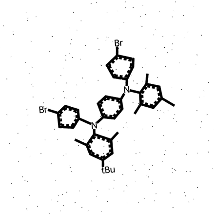 Cc1cc(C)c(N(c2ccc(Br)cc2)c2ccc(N(c3ccc(Br)cc3)c3c(C)cc(C(C)(C)C)cc3C)cc2)c(C)c1